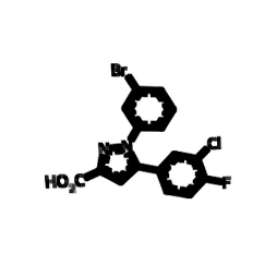 O=C(O)c1cc(-c2ccc(F)c(Cl)c2)n(-c2cccc(Br)c2)n1